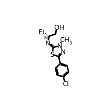 CC[C@H](CO)N=c1sc(-c2ccc(Cl)cc2)nn1C